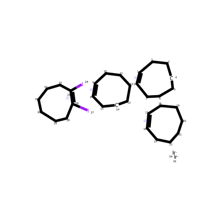 C1=C\CCCCCC/1.C1=C\CCCCCC/1.C1=C\CCCCCC/1.I/C1=C(\I)CCCCCC1.[Ir].[Ir]